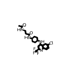 CC(=O)NCCC(=O)NC1CCC(Nc2cc(C(F)(F)F)nc3ccc(Cl)cc23)CC1